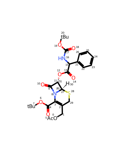 CC(=O)OCC1=C(C(=O)OC(C)(C)C)N2C(=O)[C@H](OC(=O)C(NC(=O)OC(C)(C)C)c3ccccc3)[C@H]2SC1